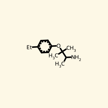 CCc1ccc(OC(C)(C)C(C)N)cc1